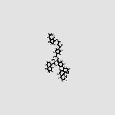 C=C(/N=C(/c1ccc(-c2ccnc3c2ccc2cccnc23)cc1)N(C)C(C)c1cccc2ccccc12)c1ccc(/C(C)=C/C=N\c2cccc3cccnc23)cc1